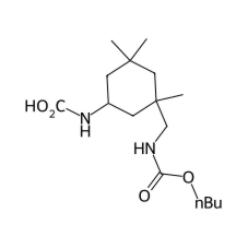 CCCCOC(=O)NCC1(C)CC(NC(=O)O)CC(C)(C)C1